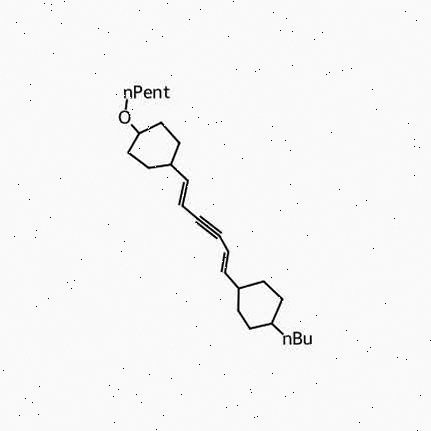 CCCCCOC1CCC(C=CC#CC=CC2CCC(CCCC)CC2)CC1